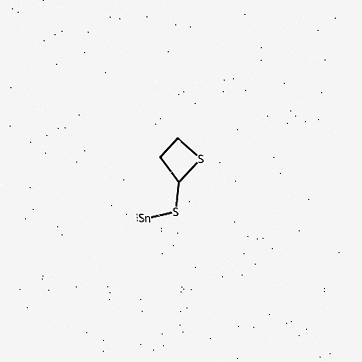 [Sn][S]C1CCS1